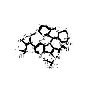 [2H]C([2H])([2H])c1nnn(C)c1-c1cnc2c3c(c(C(=O)OC)nn3C([2H])([2H])[2H])n(C(c3ncccc3F)C3CCOCC3)c2c1